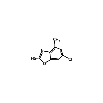 Cc1cc(Cl)cc2oc(S)nc12